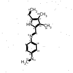 C=Cc1[nH]c(C=Nc2ccc(N=C)cc2)c(C)c1C